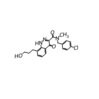 CN(Cc1ccc(Cl)cc1)C(=O)c1n[nH]c2c(CCCO)cccc2c1=O